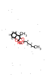 CCCCCC(O)Oc1c(C)c2ccccc2oc1=O